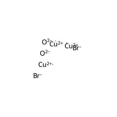 [Br-].[Br-].[Cu+2].[Cu+2].[Cu+2].[O-2].[O-2]